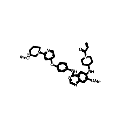 C=CC(=O)N1CCC(Nc2cc3c(Nc4ccc(Oc5ccnc(N6CCC[C@@H](OC)C6)c5)cc4)ncnc3cc2OC)CC1